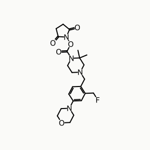 CC1(C)CN(Cc2ccc(N3CCOCC3)cc2CF)CCN1C(=O)ON1C(=O)CCC1=O